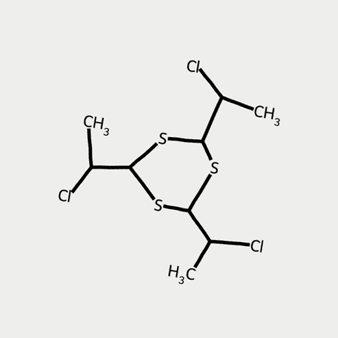 CC(Cl)C1SC(C(C)Cl)SC(C(C)Cl)S1